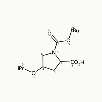 CC(C)OC1CC(C(=O)O)N(C(=O)OC(C)(C)C)C1